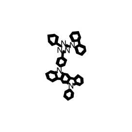 c1ccc(-c2nc(-c3ccc(-n4c5ccccc5c5cc6c(cc54)c4ccccc4n6-c4ccccc4)cc3)nc(-n3c4ccccc4c4ccccc43)n2)cc1